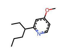 CCCC(CC)c1cc(OC)ccn1